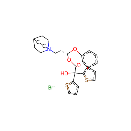 O=C(O[C@H](CC[N+]12CCC(CC1)CC2)Oc1ccccc1)C(O)(c1cccs1)c1cccs1.[Br-]